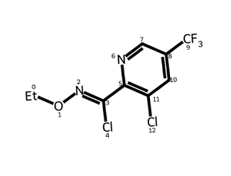 CCON=C(Cl)c1ncc(C(F)(F)F)cc1Cl